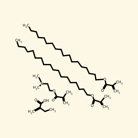 C=C(C)C(=O)OCCCCCCCCCCCCCCCCCC.C=C(C)C(=O)OCCCCCCCCCCCCCCCCCC.C=C(C)C(=O)OCCN(C)C.C=C(CC)C(=O)O